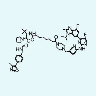 Cc1ncsc1-c1ccc(CNC(=O)[C@@H]2CCCN2C(=O)[C@@H](NC(=O)CCCCCCC(=O)N2CCN(Cc3ccc(Nc4ncc(F)c(-c5cc(F)c6nc(C)n(C(C)C)c6c5)n4)nc3)CC2)C(C)(C)C)cc1